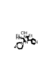 CCNc1nc(CC)c(-c2ccncc2)nc1N1CCCN(C)CC1.Cl